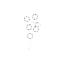 ClCCOc1cccc(-c2ccc3ncn(C(c4ccccc4)(c4ccccc4)c4ccccc4)c3c2)c1